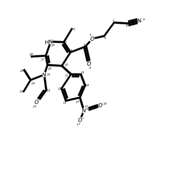 CC1=C(C(=O)OCCC#N)C(c2ccc([N+](=O)[O-])cc2)C(N(C=O)C(C)C)=C(C)N1